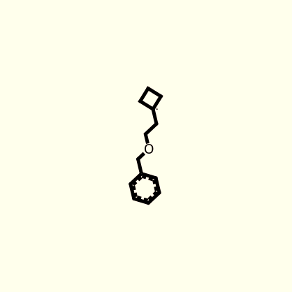 c1ccc(COCC[C]2CCC2)cc1